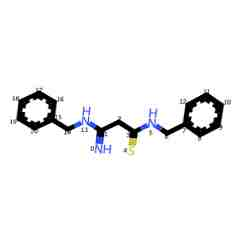 N=C(CC(=S)NCc1ccccc1)NCc1ccccc1